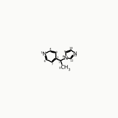 CC(c1ccncc1)n1ccnc1